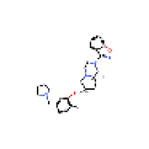 Cc1ccc(CN2CCCC2)cc1OC[C@@H]1CC[C@@H]2CN(c3noc4ccccc34)CCN2C1